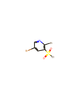 CCS(=O)(=O)c1cc(Br)cnc1C(C)C